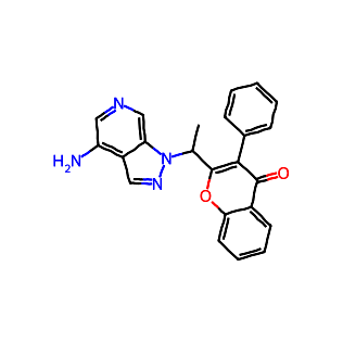 CC(c1oc2ccccc2c(=O)c1-c1ccccc1)n1ncc2c(N)cncc21